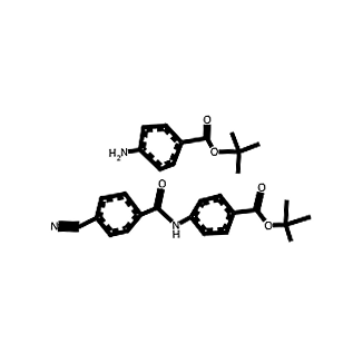 CC(C)(C)OC(=O)c1ccc(N)cc1.CC(C)(C)OC(=O)c1ccc(NC(=O)c2ccc(C#N)cc2)cc1